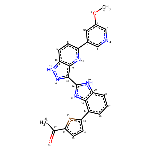 COc1cncc(-c2ccc3[nH]nc(-c4nc5c(-c6ccc(C(C)=O)s6)cccc5[nH]4)c3n2)c1